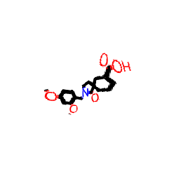 COc1ccc(CN2CCC3(CCCC(C(=O)O)C3)C2=O)c(OC)c1